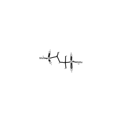 CNS(=O)(=O)C(C)CC(C)(C)S(=O)(=O)NC